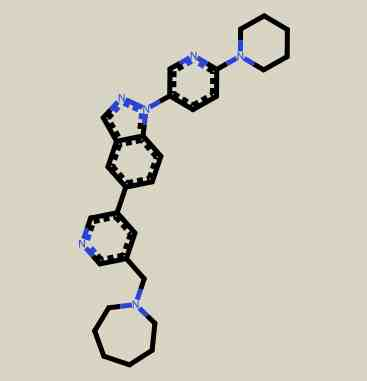 c1ncc(-c2ccc3c(cnn3-c3ccc(N4CCCCC4)nc3)c2)cc1CN1CCCCCC1